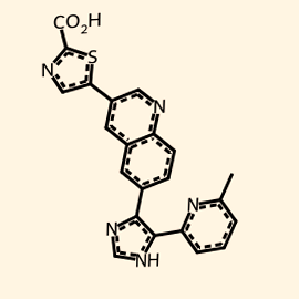 Cc1cccc(-c2[nH]cnc2-c2ccc3ncc(-c4cnc(C(=O)O)s4)cc3c2)n1